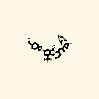 C=C(/C=C(\C=C/C)N1Cc2c(cc(N3CC4(CCC(C=O)CC4)C3)cc2C(F)(F)F)C1=O)[C@]1(Cc2nncn2C)C[C@@H](C)C1